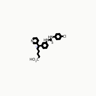 O=C(O)CCC/C=C(/c1cccnc1)c1cccc(NC(=S)Nc2ccc(Cl)cc2)c1